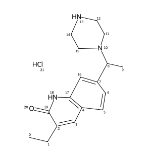 CCc1cc2ccc(C(C)N3CCNCC3)cc2[nH]c1=O.Cl